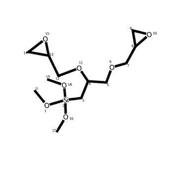 CO[Si](CC(COCC1CO1)OCC1CO1)(OC)OC